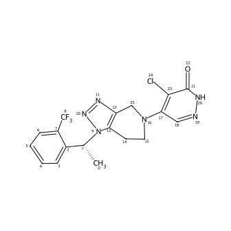 C[C@H](c1ccccc1C(F)(F)F)n1nnc2c1CCN(c1cn[nH]c(=O)c1Cl)C2